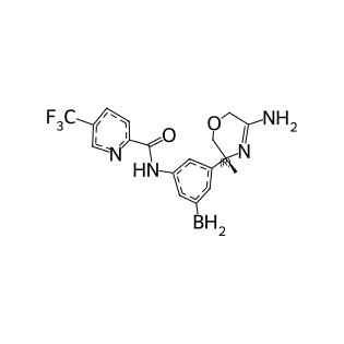 Bc1cc(NC(=O)c2ccc(C(F)(F)F)cn2)cc([C@]2(C)COCC(N)=N2)c1